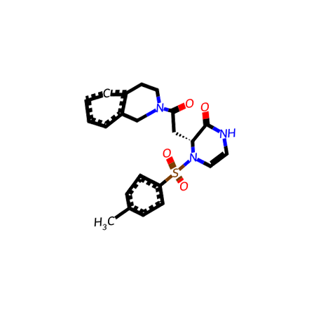 Cc1ccc(S(=O)(=O)N2C=CNC(=O)[C@H]2CC(=O)N2CCc3ccccc3C2)cc1